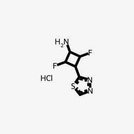 Cl.NC1C(F)C(c2nncs2)C1F